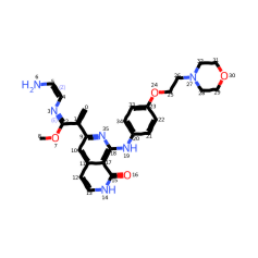 C=C(/C(=N\C=C/N)OC)c1cc2cc[nH]c(=O)c2c(Nc2ccc(OCCN3CCOCC3)cc2)n1